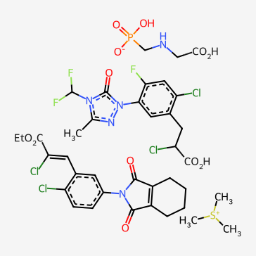 CCOC(=O)/C(Cl)=C/c1cc(N2C(=O)C3=C(CCCC3)C2=O)ccc1Cl.C[S+](C)C.Cc1nn(-c2cc(CC(Cl)C(=O)O)c(Cl)cc2F)c(=O)n1C(F)F.O=C(O)CNCP(=O)([O-])O